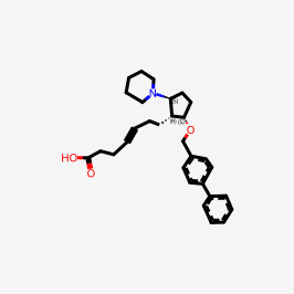 O=C(O)CCC#CCC[C@H]1[C@@H](OCc2ccc(-c3ccccc3)cc2)CC[C@@H]1N1CCCCC1